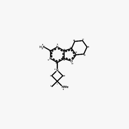 CNC1(C)CN(c2nc(N)nc3c4c(oc23)CCCC4)C1